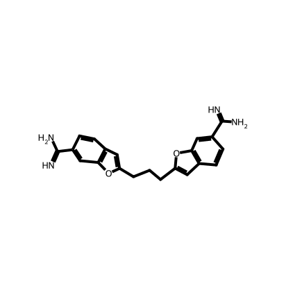 N=C(N)c1ccc2cc(CCCc3cc4ccc(C(=N)N)cc4o3)oc2c1